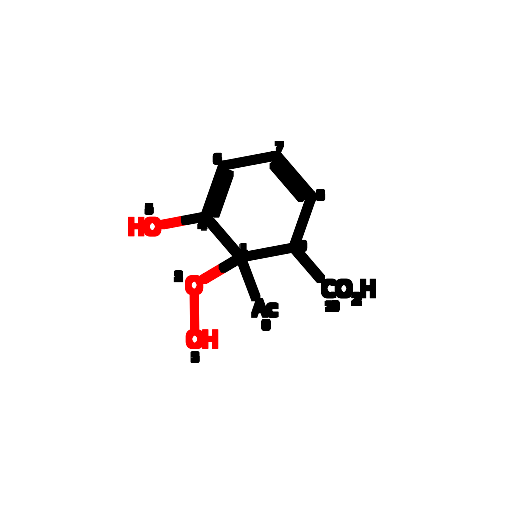 CC(=O)C1(OO)C(O)=CC=CC1C(=O)O